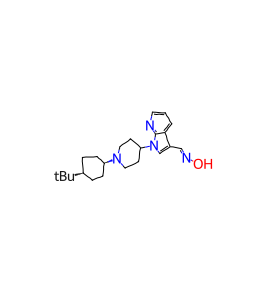 CC(C)(C)[C@H]1CC[C@@H](N2CCC(n3cc(C=NO)c4cccnc43)CC2)CC1